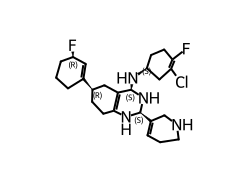 FC1=C(Cl)C[C@@H](N[C@H]2N[C@@H](C3=CCCNC3)NC3=C2C[C@H](C2=C[C@H](F)CCC2)CC3)CC1